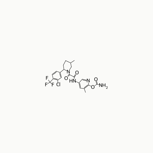 Cc1cc(NC(=O)C(=O)N2CC(C)CCC2c2ccc(C(F)(F)F)c(Cl)c2)cnc1OC(N)=O